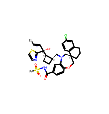 CC/C=C/[C@](O)(c1nccs1)[C@@H]1CC[C@H]1CN1C[C@@]2(CCCc3cc(Cl)ccc32)COc2ccc(C(=O)NS(=O)(=O)C(C)C)cc21